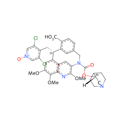 COc1ccc([C@H](Cc2c(Cl)c[n+]([O-])cc2Cl)c2cc(CN(C(=O)O[C@H]3CN4CCC3CC4)c3cccnc3OC)ccc2C(=O)O)cc1OC